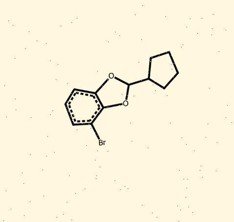 Brc1cccc2c1OC(C1CCCC1)O2